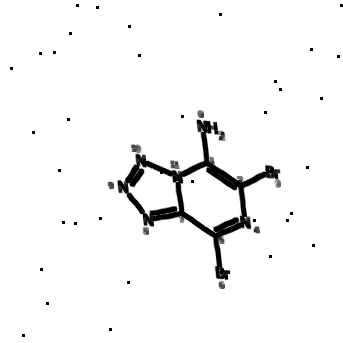 Nc1c(Br)nc(Br)c2nnnn12